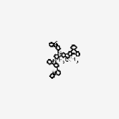 CC1(C)c2cc3c4ccccc4c4ccccc4c3cc2-c2cc3c(cc21)c1cc(-n2c4ccccc4c4cc(-c5cccc6c5sc5ccccc56)ccc42)ccc1n3-c1ccc2sc3ccccc3c2c1